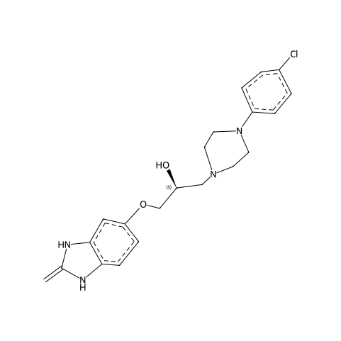 C=C1Nc2ccc(OC[C@@H](O)CN3CCN(c4ccc(Cl)cc4)CC3)cc2N1